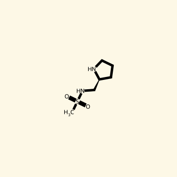 CS(=O)(=O)NC[C@@H]1CCCN1